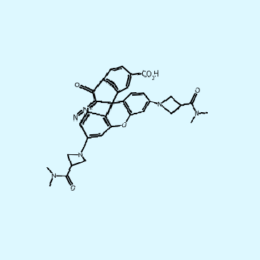 CN(C)C(=O)C1CN(c2ccc3c(c2)Oc2cc(N4CC(C(=O)N(C)C)C4)ccc2C32C(=[N+]=[N-])C(=O)c3ccc(C(=O)O)cc32)C1